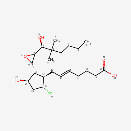 CCCCC(C)(C)[C@H](O)C1OC1[C@@H]1[C@@H](CC=CCCCC(=O)O)[C@H](Cl)C[C@H]1O